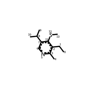 CCc1c(C)ncc(C(C)C)c1SC